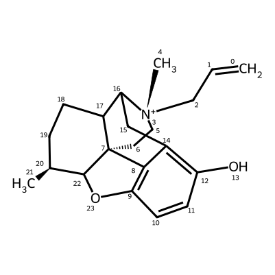 C=CC[N@+]1(C)CC[C@@]23c4c5ccc(O)c4CC1C2CC[C@H](C)C3O5